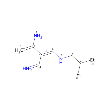 C=C(N)/C(C=N)=C/NCC(CC)CC